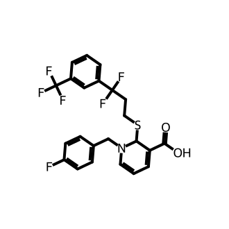 O=C(O)C1=CC=CN(Cc2ccc(F)cc2)C1SCCC(F)(F)c1cccc(C(F)(F)F)c1